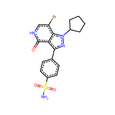 NS(=O)(=O)c1ccc(-c2nn(C3CCCC3)c3c(Br)c[nH]c(=O)c23)cc1